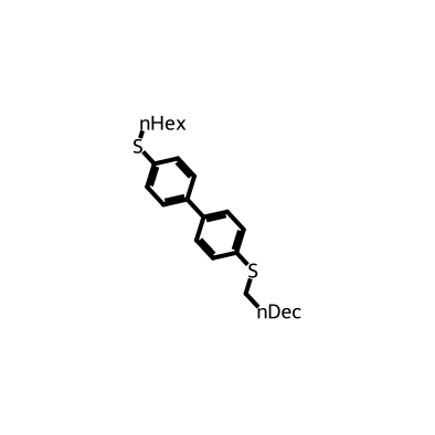 CCCCCCCCCCCSc1ccc(-c2ccc(SCCCCCC)cc2)cc1